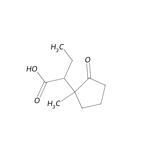 CCC(C(=O)O)C1(C)CCCC1=O